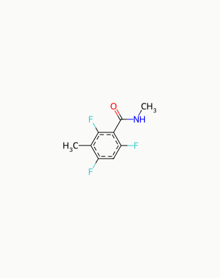 CNC(=O)c1c(F)cc(F)c(C)c1F